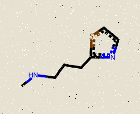 CNCCCc1nccs1